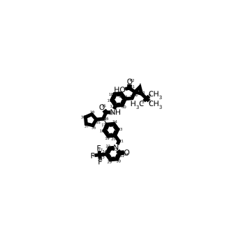 CC(C)(C)C1CC1(Cc1cccc(NC(=O)[C@H](c2ccc(Cn3cc(C(F)(F)F)ccc3=O)cc2)C2CCCC2)c1)C(=O)O